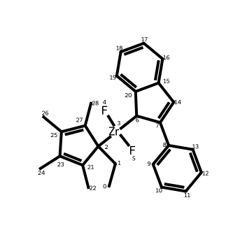 CC[C]1([Zr]([F])([F])[CH]2C(c3ccccc3)=Cc3ccccc32)C(C)=C(C)C(C)=C1C